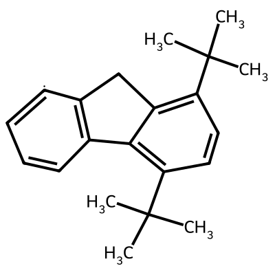 CC(C)(C)c1ccc(C(C)(C)C)c2c1Cc1[c]cccc1-2